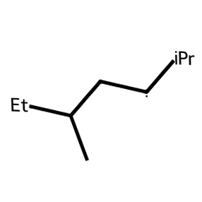 [CH2]CC(C)C[CH]C(C)C